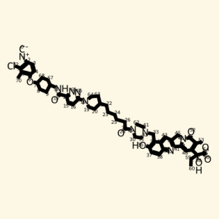 [C-]#[N+]c1ccc(OC2CCC(NC(=O)c3ccc(N4CCC(CCCCCC(=O)N5CCN(Cc6c(O)ccc7nc8c(cc67)Cn6c-8cc7c(c6=O)COC(=O)[C@]7(O)CC)CC5)CC4)nn3)CC2)c(C)c1Cl